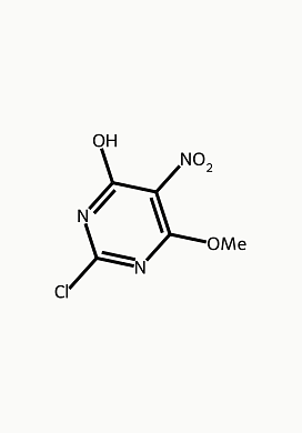 COc1nc(Cl)nc(O)c1[N+](=O)[O-]